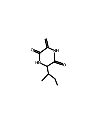 C=C1NC(=O)C(C(C)CC)NC1=O